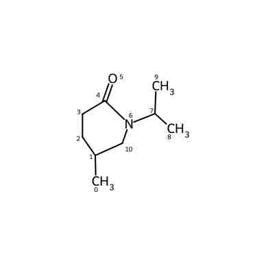 CC1CCC(=O)N(C(C)C)C1